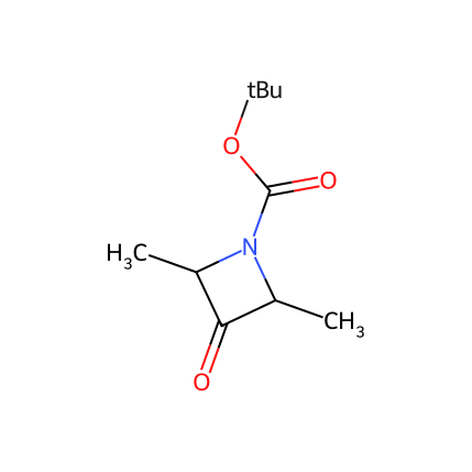 CC1C(=O)C(C)N1C(=O)OC(C)(C)C